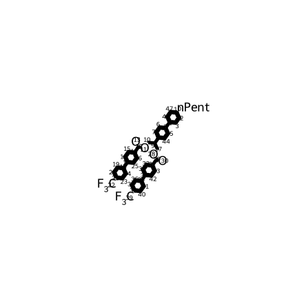 CCCCCc1ccc(-c2ccc(C(COC(=O)c3ccc(-c4ccc(C(F)(F)F)cc4)cc3)COC(=O)c3ccc(-c4ccc(C(F)(F)F)cc4)cc3)cc2)cc1